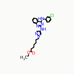 CCOC(=O)CCCCCCn1cc(Nc2nc(Nc3cccc(Cl)c3)c3ccccc3n2)cn1